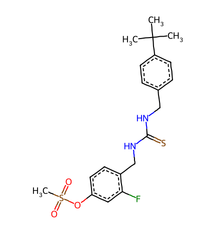 CC(C)(C)c1ccc(CNC(=S)NCc2ccc(OS(C)(=O)=O)cc2F)cc1